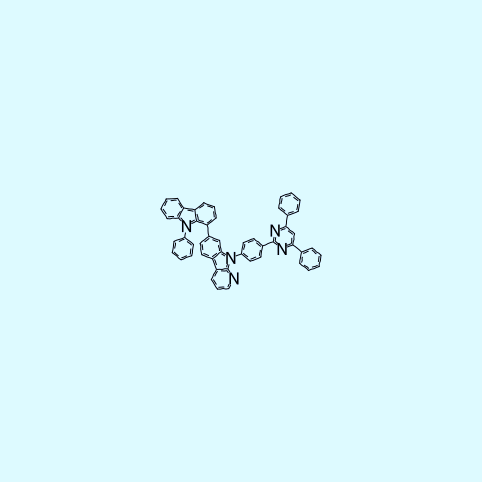 c1ccc(-c2cc(-c3ccccc3)nc(-c3ccc(-n4c5cc(-c6cccc7c8ccccc8n(-c8ccccc8)c67)ccc5c5cccnc54)cc3)n2)cc1